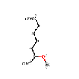 CCCCCCCCCC(C=O)OCC